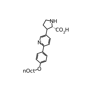 CCCCCCCCOc1ccc(-c2ccc(C3CCN[C@@H]3C(=O)O)cn2)cc1